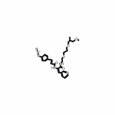 COCC(C)COCCCSCCNC(=O)/C(=C\c1cccnc1)NC(=O)/C=C/c1ccc(N=[N+]=[N-])cc1